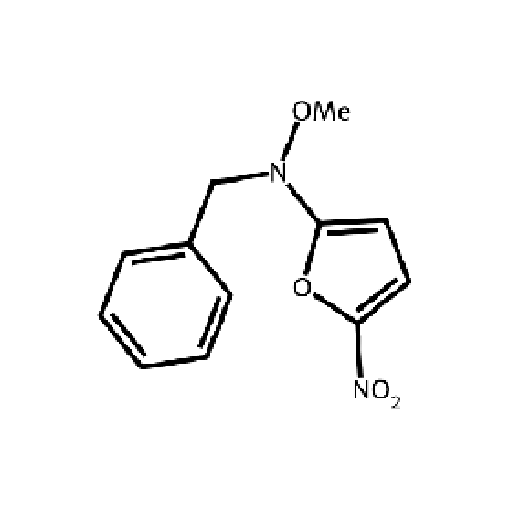 CON(Cc1ccccc1)c1ccc([N+](=O)[O-])o1